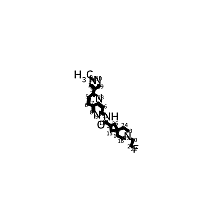 Cn1cc(-c2ccc3cnc(NC(=O)C4CC5(CCN(CCF)CC5)C4)cc3n2)cn1